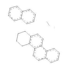 CO.c1ccc2c([C@H]3CCCc4c3ccc3c4ccc4ccccc43)cccc2c1